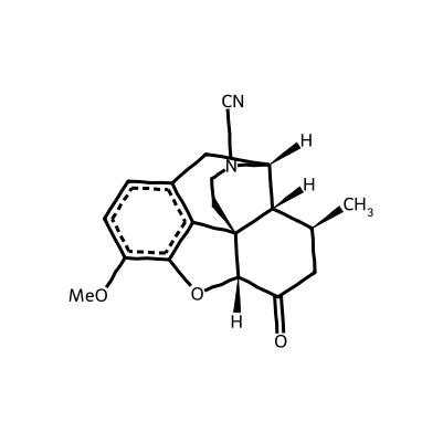 COc1ccc2c3c1O[C@H]1C(=O)C[C@H](C)[C@H]4[C@@H](C2)N(C#N)CC[C@@]341